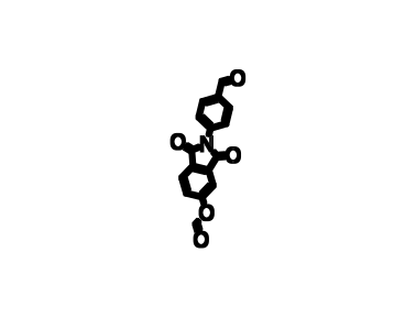 O=COc1ccc2c(c1)C(=O)N(c1ccc(C=O)cc1)C2=O